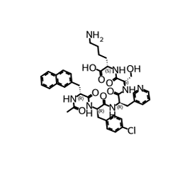 CC(=O)N[C@H](Cc1ccc2ccccc2c1)C(=O)N[C@H](Cc1ccc(Cl)cc1)C(=O)N[C@H](Cc1cccnc1)C(=O)N[C@@H](CO)C(=O)N[C@@H](CCCCN)C(=O)O